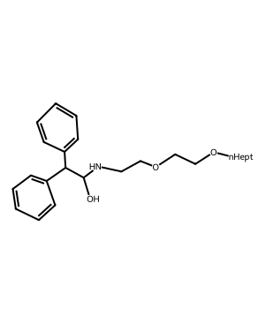 CCCCCCCOCCOCCNC(O)C(c1ccccc1)c1ccccc1